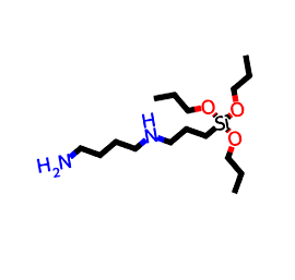 CCCO[Si](CCCNCCCCN)(OCCC)OCCC